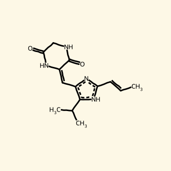 CC=Cc1nc(C=C2NC(=O)CNC2=O)c(C(C)C)[nH]1